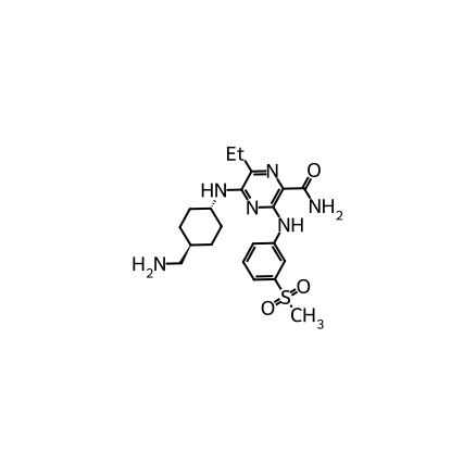 CCc1nc(C(N)=O)c(Nc2cccc(S(C)(=O)=O)c2)nc1N[C@H]1CC[C@H](CN)CC1